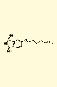 CCCCCCOc1ccc2c(c1)C(=N)NC2=N